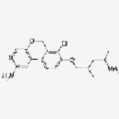 CC(N)CC(C)COc1ccc2c(c1Cl)COc1cnc(N)cc1-2